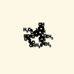 CCOc1cc2c(cc1OC)C(c1cnc(N(C)C)nc1OC)=N[C@@H]1CC[C@@H](O)C[C@H]21.O=C(O)/C=C/C(=O)O